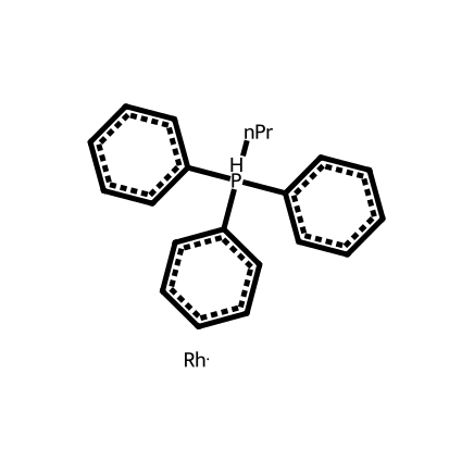 [CH2]CC[PH](c1ccccc1)(c1ccccc1)c1ccccc1.[Rh]